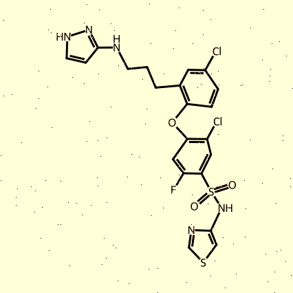 O=S(=O)(Nc1cscn1)c1cc(Cl)c(Oc2ccc(Cl)cc2CCCNc2cc[nH]n2)cc1F